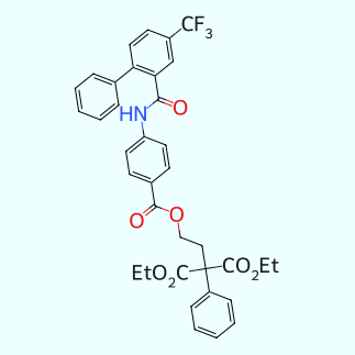 CCOC(=O)C(CCOC(=O)c1ccc(NC(=O)c2cc(C(F)(F)F)ccc2-c2ccccc2)cc1)(C(=O)OCC)c1ccccc1